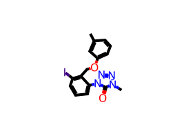 Cc1cccc(OCc2c(I)cccc2-n2nnn(C)c2=O)c1